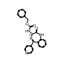 O=C(N[C@@H]1N=C(c2ccncc2)c2ccccc2NC1=O)OCc1ccccc1